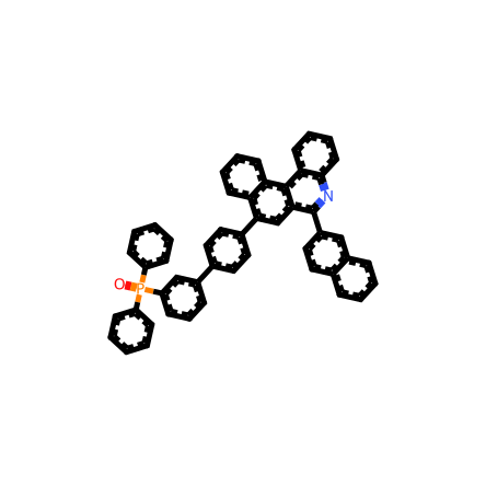 O=P(c1ccccc1)(c1ccccc1)c1cccc(-c2ccc(-c3cc4c(-c5ccc6ccccc6c5)nc5ccccc5c4c4ccccc34)cc2)c1